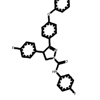 O=C(Nc1ccc(F)cc1)N1CC(c2ccc(F)cc2)C(c2ccc(Oc3ccccc3)cc2)=N1